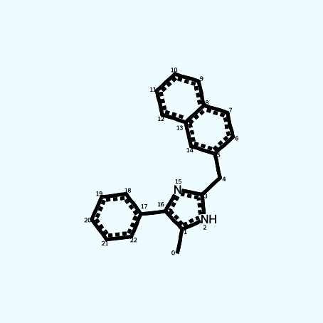 Cc1[nH]c(Cc2ccc3ccccc3c2)nc1-c1ccccc1